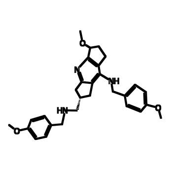 COc1ccc(CNC[C@@H]2Cc3nc4c(c(NCc5ccc(OC)cc5)c3C2)CCC4OC)cc1